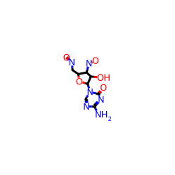 Nc1ncn(C2OC(CN=O)C(N=O)C2O)c(=O)n1